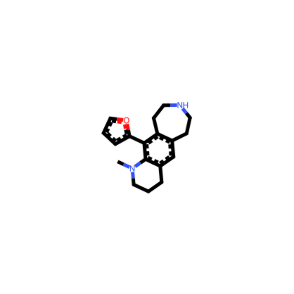 CN1CCCc2cc3c(c(-c4ccco4)c21)CCNCC3